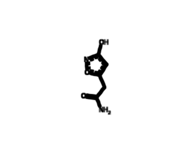 NC(=O)Cc1cc(O)no1